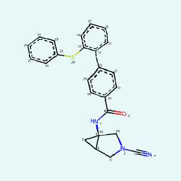 N#CN1CC2C[C@]2(NC(=O)c2ccc(-c3ccccc3Sc3ccccc3)cc2)C1